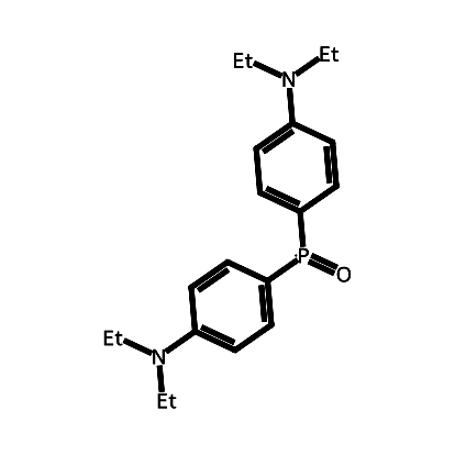 CCN(CC)c1ccc([P](=O)c2ccc(N(CC)CC)cc2)cc1